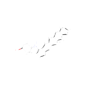 O=C1CCC(Nc2cccc3cc4cc5cc6ccccc6cc5cc4cc23)CC1